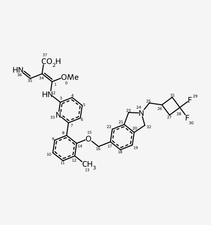 CO/C(Nc1cccc(-c2cccc(C)c2OCc2ccc3c(c2)CN(CC2CC(F)(F)C2)C3)n1)=C(/C=N)C(=O)O